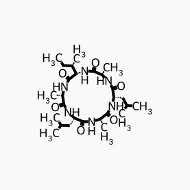 CC[C@H](C)[C@@H]1NC(=O)[C@H](C)NC(=O)[C@H](CC(C)C)NC(=O)[C@H](C)NC(=O)[C@H](CC(C)C)NC(=O)[C@H](C)NC1=O